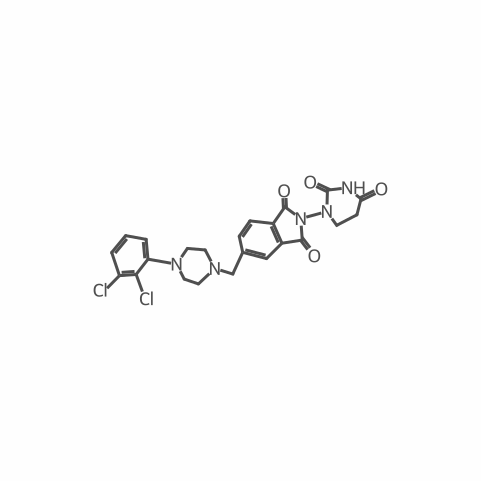 O=C1CCN(N2C(=O)c3ccc(CN4CCN(c5cccc(Cl)c5Cl)CC4)cc3C2=O)C(=O)N1